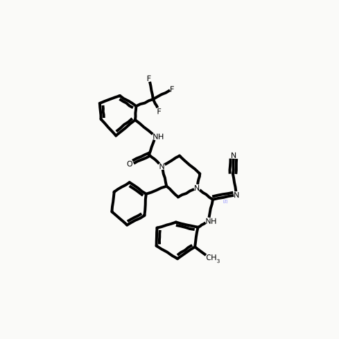 Cc1ccccc1N/C(=N/C#N)N1CCN(C(=O)Nc2ccccc2C(F)(F)F)C(C2=CCCC=C2)C1